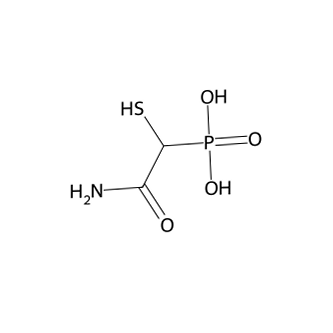 NC(=O)C(S)P(=O)(O)O